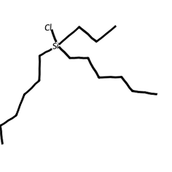 CCCCCC[Si](Cl)(CCC)CCCCCC